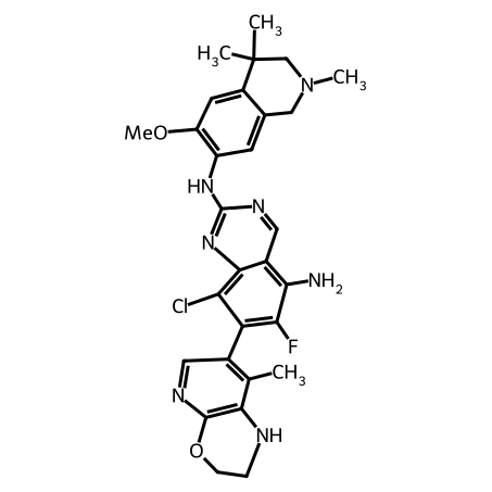 COc1cc2c(cc1Nc1ncc3c(N)c(F)c(-c4cnc5c(c4C)NCCO5)c(Cl)c3n1)CN(C)CC2(C)C